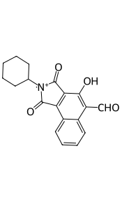 O=Cc1c(O)c2c(c3ccccc13)C(=O)[N+](C1CCCCC1)C2=O